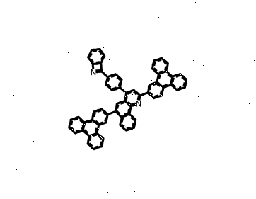 c1ccc2c(c1)N=C2c1ccc(-c2cc(-c3ccc4c5ccccc5c5ccccc5c4c3)nc3c2cc(-c2ccc4c5ccccc5c5ccccc5c4c2)c2ccccc23)cc1